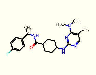 Cc1cnc(NC2CCC(C(=O)N[C@H](C)c3ccc(F)cc3)CC2)nc1N(C)C